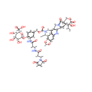 CCN(Cc1c2c(nc3cc4c(cc13)OCO4)-c1cc3c(c(=O)n1C2)COC(=O)[C@]3(O)CC)C(=O)OCc1ccc(O[C@@H]2O[C@H](C(=O)O)[C@@H](O)[C@H](O)[C@H]2O)c(NC(=O)CCNC(=O)CCN2C(=O)C=CC2=O)c1